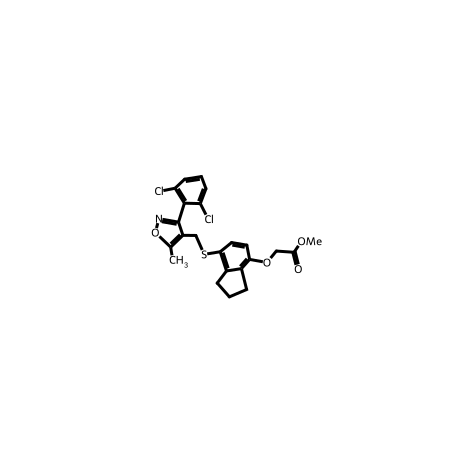 COC(=O)COc1ccc(SCc2c(-c3c(Cl)cccc3Cl)noc2C)c2c1CCC2